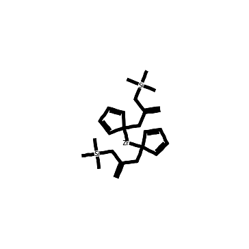 C=C(C[C]1([Zr][C]2(CC(=C)C[Si](C)(C)C)C=CC=C2)C=CC=C1)C[Si](C)(C)C